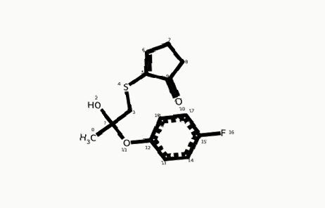 CC(O)(CSC1=CCCC1=O)Oc1ccc(F)cc1